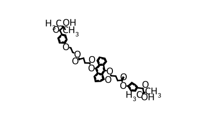 CC(C)(O)C(=O)c1ccc(OCCOC(=O)CCC(=O)Oc2c3ccccc3c(OC(=O)CCC(=O)Oc3ccc(C(=O)C(C)(C)O)cc3)c3ccccc23)cc1